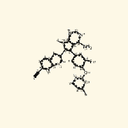 C#Cc1ccc2cc(-c3c(-c4ccc(Oc5nccc(C)n5)c(F)c4)c4c(N)ncnc4n3C)cnc2n1